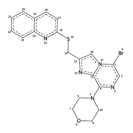 Brc1cnc(N2CCOCC2)c2nc(CSc3ccc4ccccc4n3)cn12